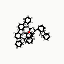 c1ccc(-c2nc(-c3cccc4c3oc3ccccc34)nc(-n3c4ccccc4c4ccc5c6ccccc6n(-c6ccccc6-c6nc7ccccc7o6)c5c43)n2)cc1